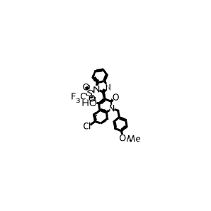 COc1ccc(Cn2c(=O)c(-c3nc4ccccc4n3S(=O)(=O)C(F)(F)F)c(O)c3cc(Cl)ccc32)cc1